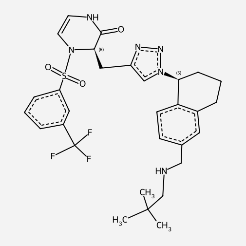 CC(C)(C)CNCc1ccc2c(c1)CCC[C@@H]2n1cc(C[C@@H]2C(=O)NC=CN2S(=O)(=O)c2cccc(C(F)(F)F)c2)nn1